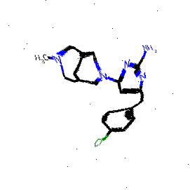 CN1CC2CN(c3cc(Cc4ccc(Cl)cc4)nc(N)n3)CC2C1